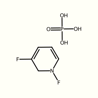 FC1=CC=CN(F)C1.O=P(O)(O)O